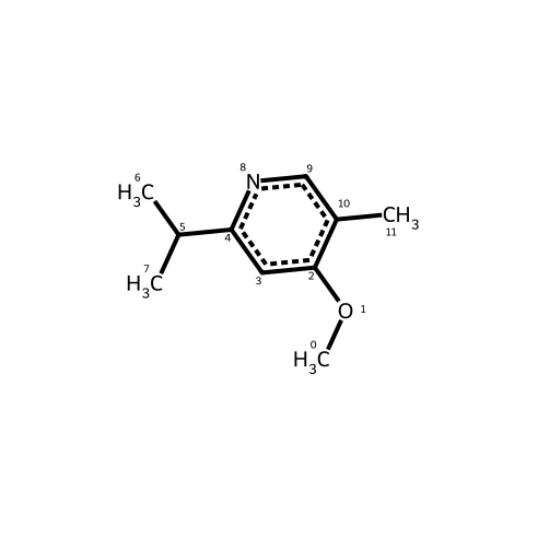 COc1cc(C(C)C)ncc1C